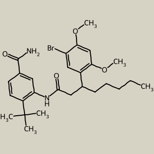 CCCCCC(CC(=O)Nc1cc(C(N)=O)ccc1C(C)(C)C)c1cc(Br)c(OC)cc1OC